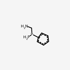 NCP(P)c1ccccc1